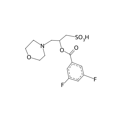 O=C(OC(CN1CCOCC1)CS(=O)(=O)O)c1cc(F)cc(F)c1